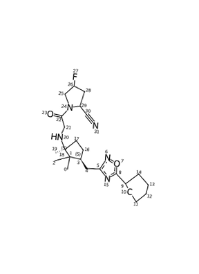 CC1(C)[C@H](Cc2noc(C3CCCCC3)n2)CC[C@]1(C)NCC(=O)N1CC(F)CC1C#N